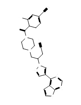 N#CCC(CN1CCN(C(=O)C2CC=C(C#N)C=C2F)CC1)n1cc(-c2ncnc3[nH]ccc23)cn1